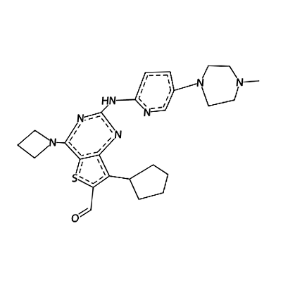 CN1CCN(c2ccc(Nc3nc(N4CCC4)c4sc(C=O)c(C5CCCC5)c4n3)nc2)CC1